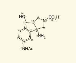 CC(=O)Nc1ccnc(C2(N)CN(C(=O)O)CC2CO)c1